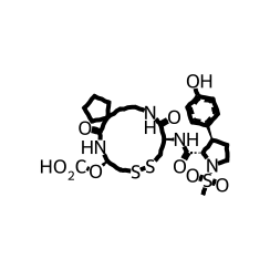 CS(=O)(=O)N1CC[C@H](c2ccc(O)cc2)[C@H]1C(=O)N[C@H]1CSSC[C@@H](OC(=O)O)NC(=O)C2(CCCC2)CCNC1=O